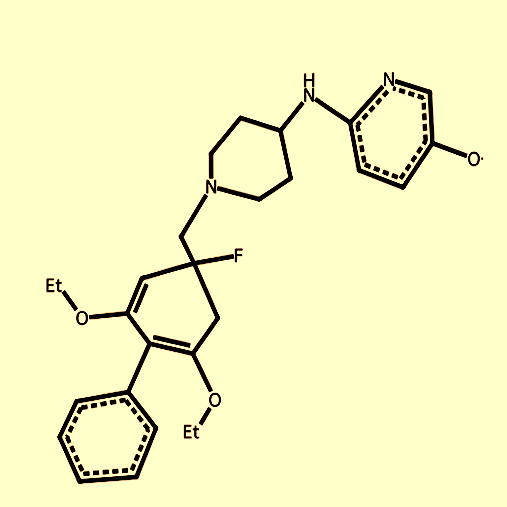 CCOC1=CC(F)(CN2CCC(Nc3ccc([O])cn3)CC2)CC(OCC)=C1c1ccccc1